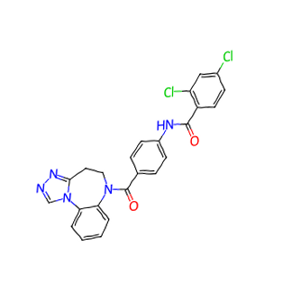 O=C(Nc1ccc(C(=O)N2CCc3nncn3-c3ccccc32)cc1)c1ccc(Cl)cc1Cl